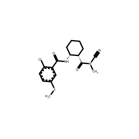 CSc1ccc(Cl)c(C(=O)N[C@@H]2CCCC[C@@H]2C(=O)N(C)C#N)c1